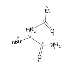 CCCCC(NC(=O)CC)C(N)=O